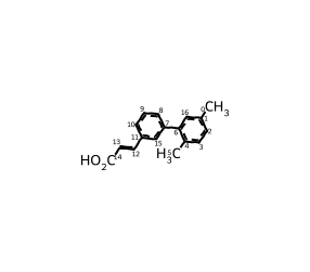 Cc1ccc(C)c(-c2cccc(/C=C/C(=O)O)c2)c1